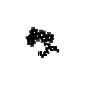 C=CCC(C)CCP(Cc1ccccc1CP(c1ccccn1)C12CC3CC(CC(C3)C1)C2)c1ccccn1